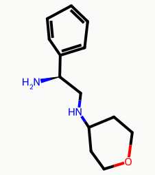 N[C@H](CNC1CCOCC1)c1ccccc1